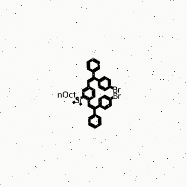 CCCCCCCC[Si](C)(C)c1cc(C=C(c2ccccc2)c2ccc(Br)cc2)ccc1C=C(c1ccccc1)c1ccc(Br)cc1